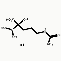 Cl.N=C(N)NCCCC(O)(C(=O)O)N(O)O